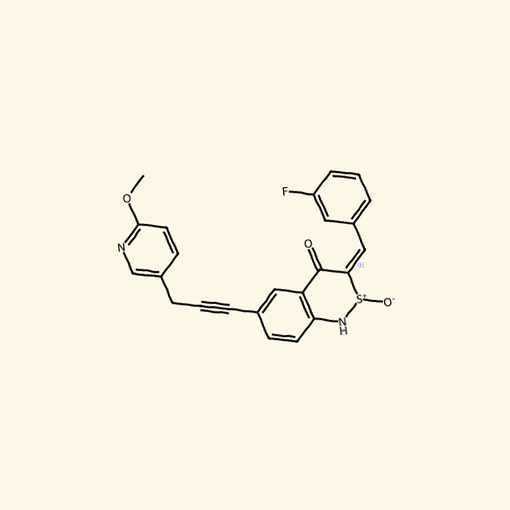 COc1ccc(CC#Cc2ccc3c(c2)C(=O)/C(=C\c2cccc(F)c2)[S+]([O-])N3)cn1